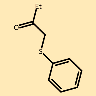 CCC(=O)CSc1ccccc1